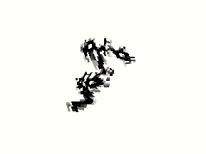 Cn1cnnc1C1(c2cccc(NC(=O)c3cc(CNCC4CCC(F)(F)C4)c4c(n3)C(C)(C)CC4)c2)CC(CC#N)C1